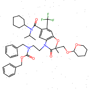 CC(C)N(C(=O)c1cc2c(cc1C(F)(F)F)OC(C)(COC1CCCCO1)C(=O)N2CCN(Cc1ccccc1)C(=O)OCc1ccccc1)C1CCCCC1